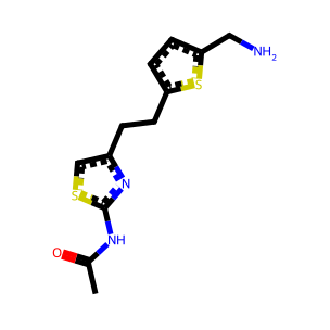 CC(=O)Nc1nc(CCc2ccc(CN)s2)cs1